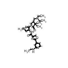 CCNc1cc(-c2nc(C(=O)Nc3cn(C)nc3N3CC(CN(CC)CC)C(C)(C)C3=O)co2)ccn1